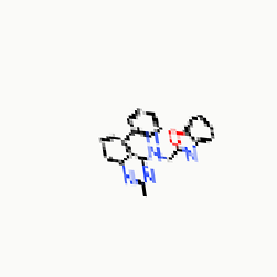 Cc1nc(NCc2nc3ccccc3o2)c2c(-c3ccccc3)cccc2n1